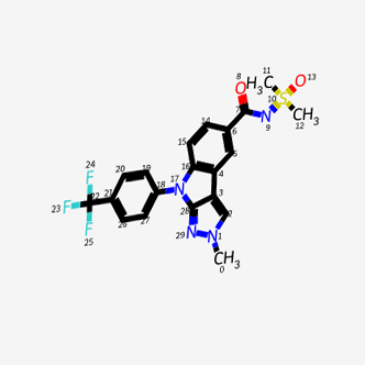 Cn1cc2c3cc(C(=O)N=S(C)(C)=O)ccc3n(-c3ccc(C(F)(F)F)cc3)c2n1